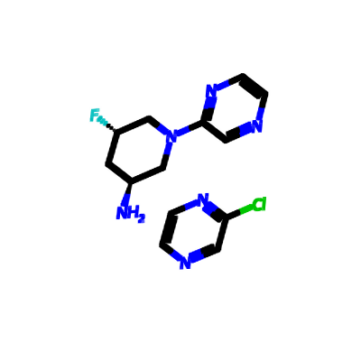 Clc1cnccn1.N[C@H]1C[C@H](F)CN(c2cnccn2)C1